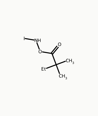 CCC(C)(C)C(=O)ONI